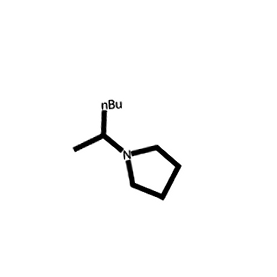 CCCCC(C)N1C[CH]CC1